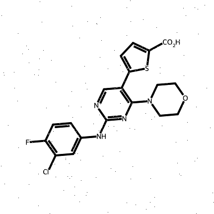 O=C(O)c1ccc(-c2cnc(Nc3ccc(F)c(Cl)c3)nc2N2CCOCC2)s1